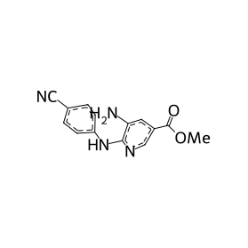 COC(=O)c1cnc(Nc2ccc(C#N)cc2)c(N)c1